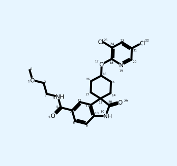 COCCNC(=O)c1ccc2c(c1)C1(CCC(Oc3ncc(Cl)cc3Cl)CC1)C(=O)N2